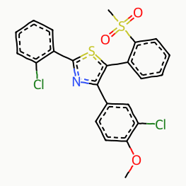 COc1ccc(-c2nc(-c3ccccc3Cl)sc2-c2ccccc2S(C)(=O)=O)cc1Cl